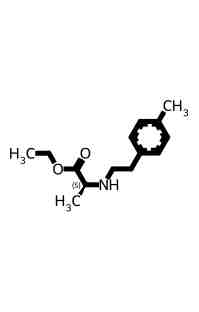 CCOC(=O)[C@H](C)NCCc1ccc(C)cc1